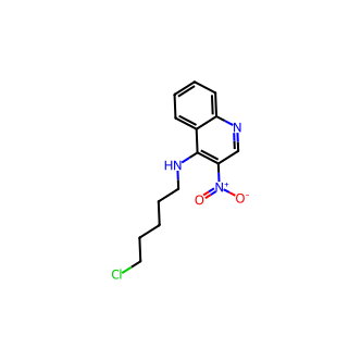 O=[N+]([O-])c1cnc2ccccc2c1NCCCCCCl